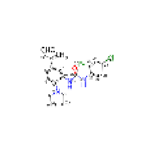 CC(C)CN(CC(C)C)c1ccc(C(C)CC=O)cc1NC(=O)Nc1ccc(Cl)cc1F